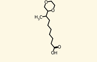 CC(CCCCCCC(=O)O)C1COCCO1